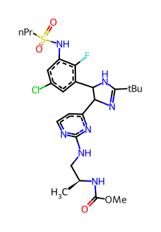 CCCS(=O)(=O)Nc1cc(Cl)cc(C2NC(C(C)(C)C)=NC2c2ccnc(NC[C@H](C)NC(=O)OC)n2)c1F